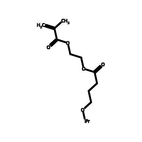 C=C(C)C(=O)OCCOC(=O)CCCOC(C)C